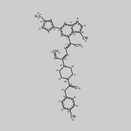 C=N/C(=C\C=C(/C)c1cc(-c2cnn(C)c2)cn2ncc(C#N)c12)N1CCN(C(=O)Cc2ccc(C#N)cc2)CC1